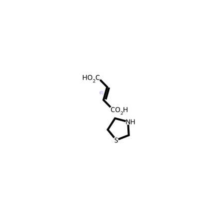 C1CSCN1.O=C(O)/C=C/C(=O)O